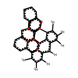 [2H]c1c([2H])c([2H])c2c(-c3cccc4c3ccc3ccccc34)c3c(-c4ccccc4-c4cccc5ccccc45)c([2H])c([2H])c([2H])c3c([2H])c2c1[2H]